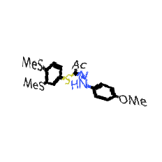 COc1ccc(NN=C(Sc2ccc(SC)c(SC)c2)C(C)=O)cc1